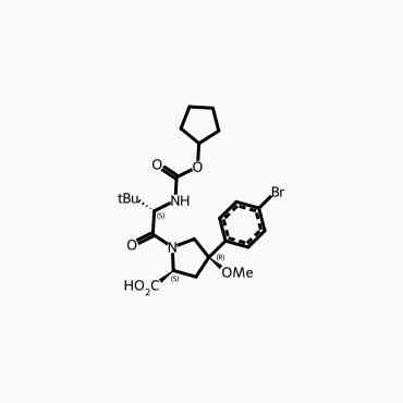 CO[C@@]1(c2ccc(Br)cc2)C[C@@H](C(=O)O)N(C(=O)[C@@H](NC(=O)OC2CCCC2)C(C)(C)C)C1